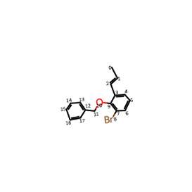 CC=Cc1cccc(Br)c1OCc1ccccc1